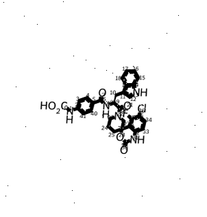 O=C(O)Nc1ccc(C(=O)N[C@@H](Cc2c[nH]c3ccccc23)C(=O)N2CCCC3(C2)OC(=O)Nc2ccc(Cl)c(F)c23)cc1